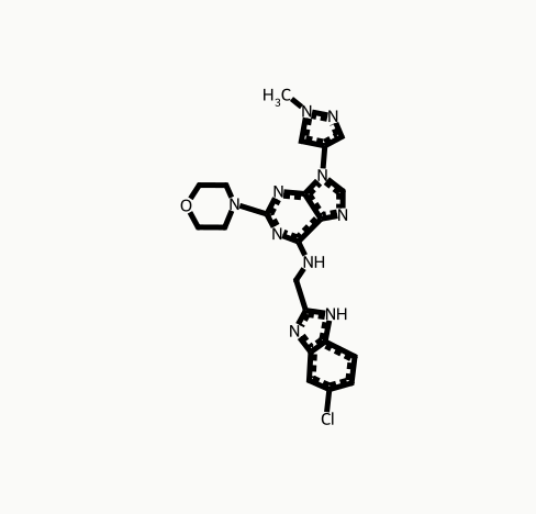 Cn1cc(-n2cnc3c(NCc4nc5cc(Cl)ccc5[nH]4)nc(N4CCOCC4)nc32)cn1